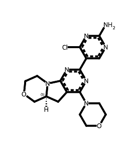 Nc1ncc(-c2nc(N3CCOCC3)c3c(n2)N2CCOC[C@@H]2C3)c(Cl)n1